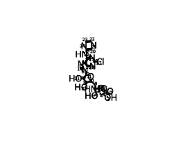 O=P(O)(O)CP(=O)(O)NCC1OC(n2cnc3c(Nc4cnccn4)nc(Cl)nc32)C(O)C1O